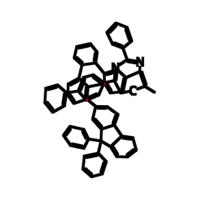 C\C1=C(c2ccc3c(c2)c2ccccc2c2cccc(-c4ccc5c(c4)C(c4ccccc4)(c4ccccc4)c4ccccc4-5)c23)/N=C(c2ccccc2)\N=C(\c2ccc(-c3ccccc3)cc2)CC1